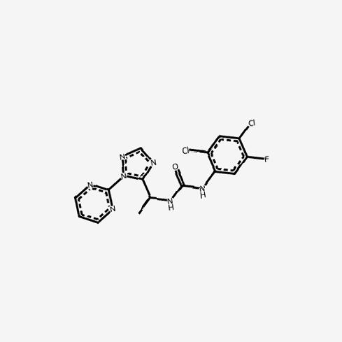 CC(NC(=O)Nc1cc(F)c(Cl)cc1Cl)c1ncnn1-c1ncccn1